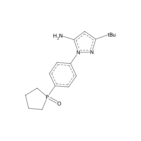 CC(C)(C)c1cc(N)n(-c2ccc(P3(=O)CCCC3)cc2)n1